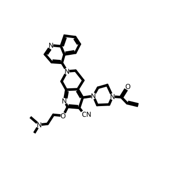 C=CC(=O)N1CCN(c2c(C#N)c(OCCN(C)C)nc3c2CCN(c2ccnc4ccccc24)C3)CC1